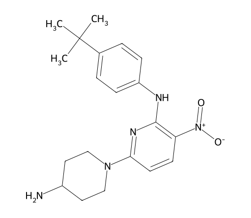 CC(C)(C)c1ccc(Nc2nc(N3CCC(N)CC3)ccc2[N+](=O)[O-])cc1